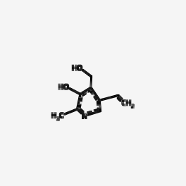 C=Cc1cnc(C)c(O)c1CO